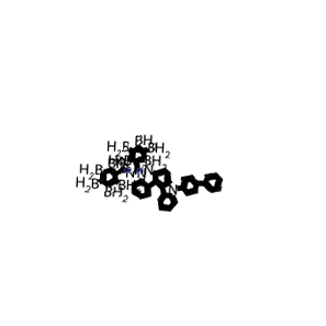 Bc1c(B)c(B)c(/C(N=C)=N/C(=N\c2ccccc2-c2c(NC)ccc3c2c2ccccc2n3-c2ccc(-c3ccccc3)cc2)c2c(B)c(B)c(B)c(B)c2B)c(B)c1B